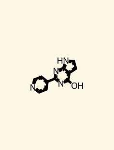 Oc1nc(-c2ccncc2)nc2[nH]ccc12